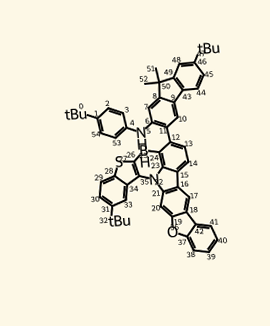 CC(C)(C)c1ccc(Nc2cc3c(cc2-c2ccc4c5cc6c(cc5n5c4c2Bc2sc4ccc(C(C)(C)C)cc4c2-5)oc2ccccc26)-c2ccc(C(C)(C)C)cc2C3(C)C)cc1